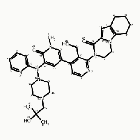 Cn1cc(-c2ccnc(N3CCn4c(cc5c4CCCC5)C3=O)c2CO)cc(N(c2ccccn2)N2CCN(CC(C)(C)O)CC2)c1=O